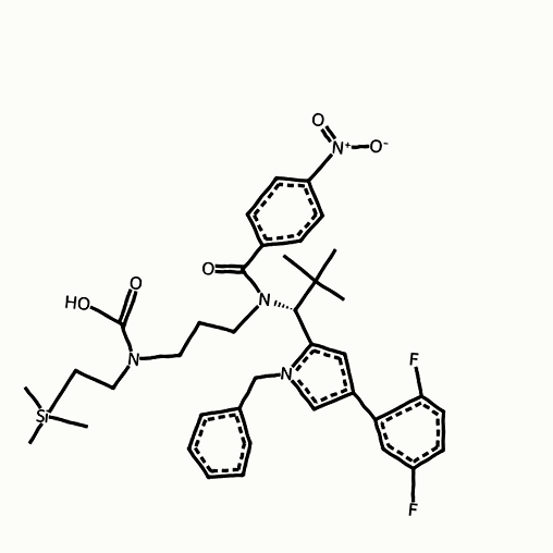 CC(C)(C)[C@H](c1cc(-c2cc(F)ccc2F)cn1Cc1ccccc1)N(CCCN(CC[Si](C)(C)C)C(=O)O)C(=O)c1ccc([N+](=O)[O-])cc1